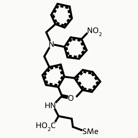 CSCCC(NC(=O)c1ccc(CN(Cc2ccccc2)c2cccc([N+](=O)[O-])c2)cc1-c1ccccc1C)C(=O)O